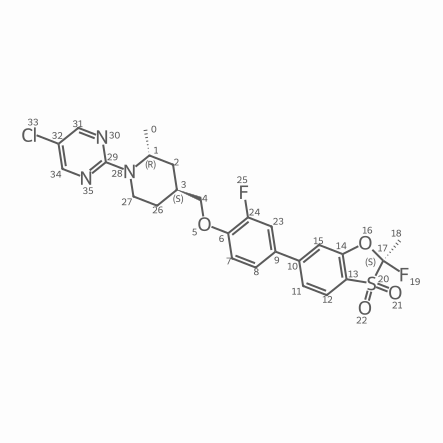 C[C@@H]1C[C@@H](COc2ccc(-c3ccc4c(c3)O[C@@](C)(F)S4(=O)=O)cc2F)CCN1c1ncc(Cl)cn1